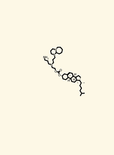 CC(C)CCC[C@@H](C)[C@H]1CC[C@H]2[C@@H]3CC=C4C[C@@H](OC(=O)OCCN(CCCN)CCCN5CCCN6CCCCCC65)CC[C@]4(C)[C@H]3CC[C@]12C